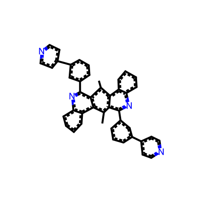 Cc1c2c(-c3cccc(-c4ccncc4)c3)nc3ccccc3c2c(C)c2c(-c3cccc(-c4ccncc4)c3)nc3ccccc3c12